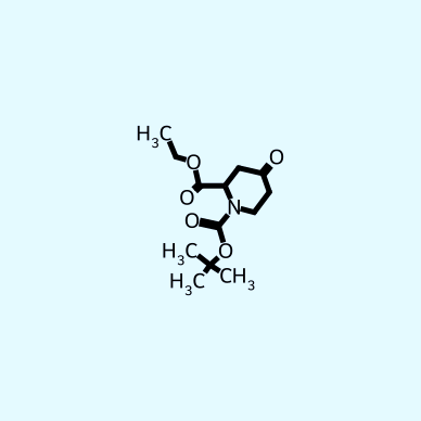 CCOC(=O)C1CC(=O)CCN1C(=O)OC(C)(C)C